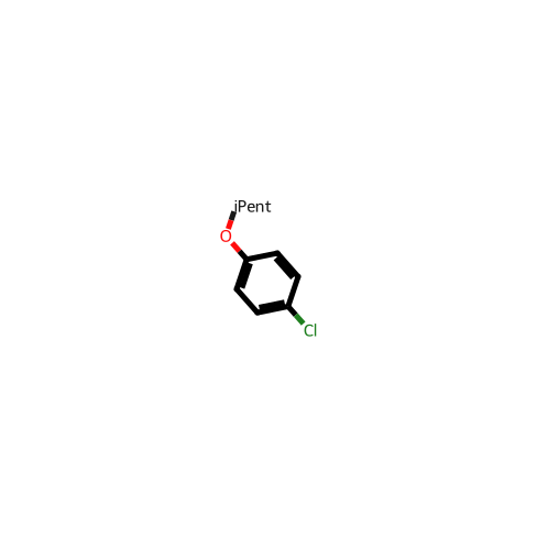 [CH2]C(CCC)Oc1ccc(Cl)cc1